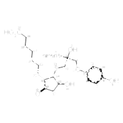 CCCCCC(O)(COc1ccc(O)cc1)CS[C@H]1C(O)CC(=O)[C@@H]1CCCCCCC(=O)O